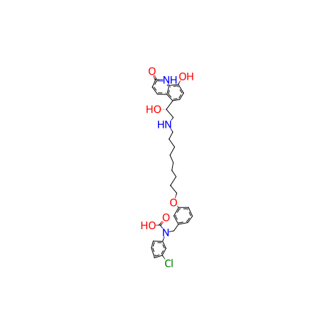 O=C(O)N(Cc1cccc(OCCCCCCCCCNC[C@H](O)c2ccc(O)c3[nH]c(=O)ccc23)c1)c1cccc(Cl)c1